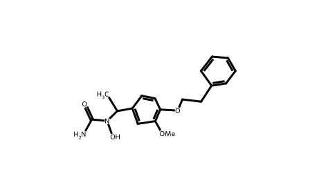 COc1cc(C(C)N(O)C(N)=O)ccc1OCCc1ccccc1